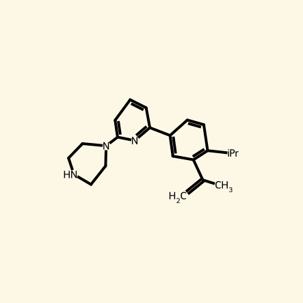 C=C(C)c1cc(-c2cccc(N3CCNCC3)n2)ccc1C(C)C